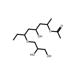 CCC(CC(O)CC(C)OC(C)=O)OCC(O)CO